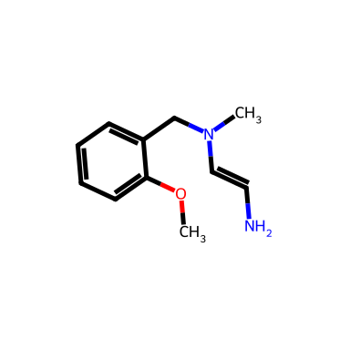 COc1ccccc1CN(C)C=CN